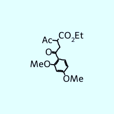 CCOC(=O)C(CC(=O)c1ccc(OC)cc1OC)C(C)=O